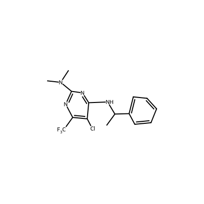 CC(Nc1nc(N(C)C)nc(C(F)(F)F)c1Cl)c1ccccc1